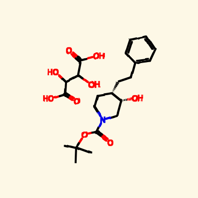 CC(C)(C)OC(=O)N1CC[C@H](CCc2ccccc2)[C@H](O)C1.O=C(O)C(O)C(O)C(=O)O